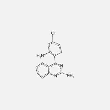 Nc1nc(-c2ccc(Cl)cc2N)c2ccccc2n1